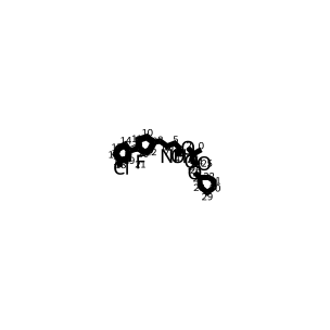 CC(OC(=O)C[C@H](N)Cc1ccc(-c2cccc(Cl)c2)c(F)c1)OC(=O)OC1CCCCC1